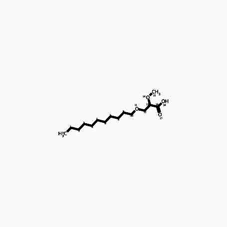 CCCCCCCCCCCOCC(OC)C(=O)O